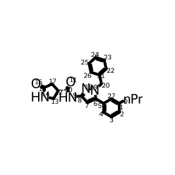 CCCc1cccc(-c2cc(NC(=O)[C@@H]3CNC(=O)C3)nn2Cc2ccccc2)c1